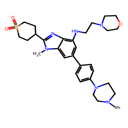 CC(C)N1CCN(c2ccc(-c3cc(NCCN4CCOCC4)c4nc(C5CCS(=O)(=O)CC5)n(C)c4c3)cc2)CC1